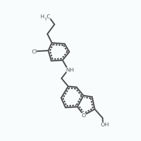 CCCc1ccc(NCc2ccc3oc(CO)cc3c2)cc1Cl